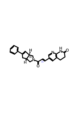 O=C1CCc2cc(/C=C/C(=O)N3C[C@@H]4CC(c5ccccc5)=C[C@@H]4C3)cnc2N1